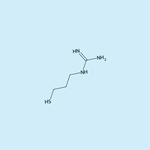 N=C(N)NCCCS